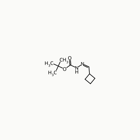 CC(C)(C)OC(=O)N/N=C\C1CCC1